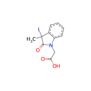 CC1(I)C(=O)N(CC(=O)O)c2ccccc21